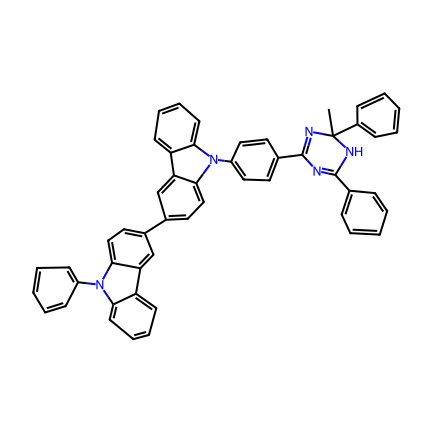 CC1(c2ccccc2)N=C(c2ccc(-n3c4ccccc4c4cc(-c5ccc6c(c5)c5ccccc5n6-c5ccccc5)ccc43)cc2)N=C(c2ccccc2)N1